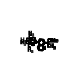 COC(C)c1ccc(B2OC(C)(C)C(C)(C)O2)c2cccnc12